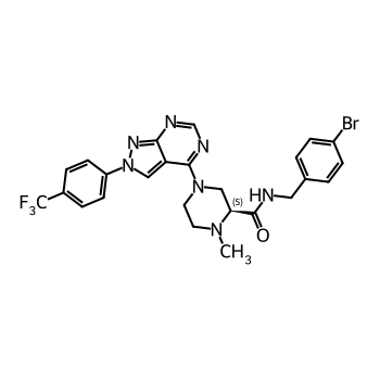 CN1CCN(c2ncnc3nn(-c4ccc(C(F)(F)F)cc4)cc23)C[C@H]1C(=O)NCc1ccc(Br)cc1